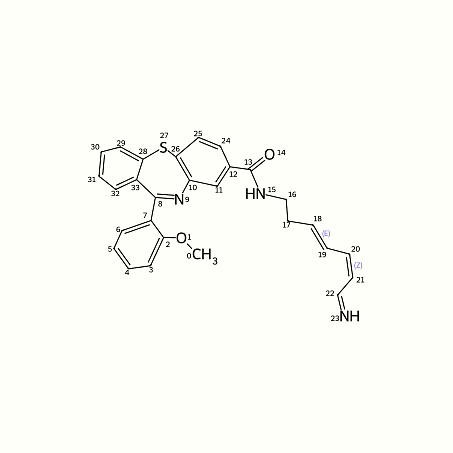 COc1ccccc1C1=Nc2cc(C(=O)NCC/C=C/C=C\C=N)ccc2Sc2ccccc21